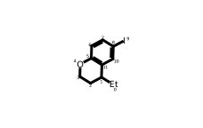 CCC1CCOc2ccc(I)cc21